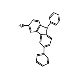 Bc1ccc2c(c1)c1cc(-c3ccccc3)ccc1n2-c1ccccc1